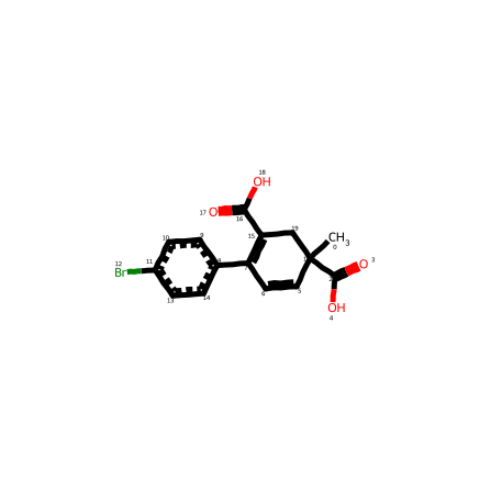 CC1(C(=O)O)C=CC(c2ccc(Br)cc2)=C(C(=O)O)C1